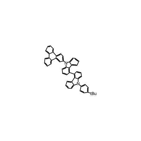 CC(C)(C)c1ccc(-n2c3ccccc3c3c(-c4cccc5c4c4ccccc4n5-c4ccc5c6ccccc6c6ccccc6c5c4)cccc32)cc1